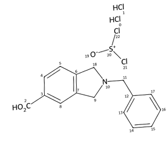 Cl.Cl.O=C(O)c1ccc2c(c1)CN(Cc1ccccc1)C2.[O-][S+](Cl)Cl